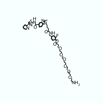 Cc1nc2cc(C(=O)Nc3nc(-c4ccccn4)cs3)ccc2n1CCCC(=O)NCc1ccc(OC(=O)CCOCCOCCOCCOCCOCCOCCN)c(F)c1